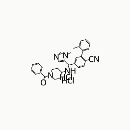 Cc1ccccc1-c1cc(C(NC2CCN(C(=O)c3ccccc3)CC2)c2cncn2C)ccc1C#N.Cl.Cl